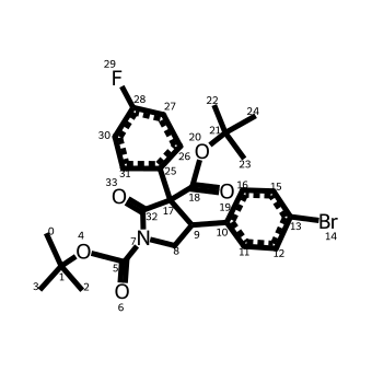 CC(C)(C)OC(=O)N1CC(c2ccc(Br)cc2)C(C(=O)OC(C)(C)C)(c2ccc(F)cc2)C1=O